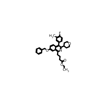 CCOC(=O)CCCc1nc(C2CCOCC2)c(-c2ccc(F)c(C)c2)c2ccc(OCc3ccccc3)cc12